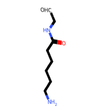 NCCCCCC(=O)NCC=O